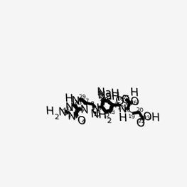 Nc1nc(=O)c2nc(CN(N)c3ccc(C(=O)N[C@@H](CCC(=O)O)C(=O)O)cc3)cnc2[nH]1.[NaH].[NaH]